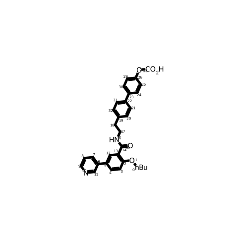 CCCCOc1ccc(-c2cccnc2)cc1C(=O)NCCc1ccc(-c2ccc(OC(=O)O)cc2)cc1